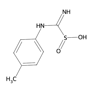 Cc1ccc(NC(=N)S(=O)O)cc1